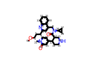 COCCCc1cc(CN(C(=O)C2CNCCC2c2ccn(C)c(=O)c2)C2CC2)c2ccccc2n1